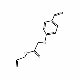 C=CCNC(=O)COc1ccc(C=O)cc1